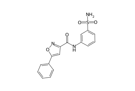 NS(=O)(=O)c1cccc(NC(=O)c2cc(-c3ccccc3)on2)c1